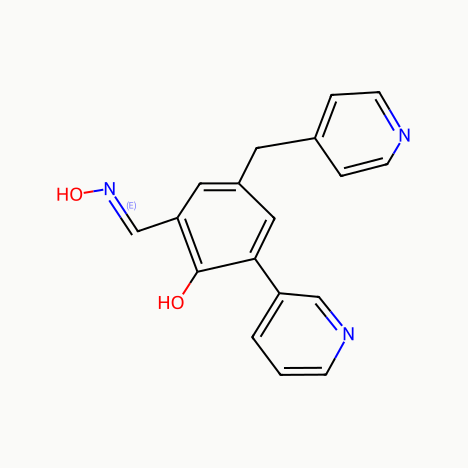 O/N=C/c1cc(Cc2ccncc2)cc(-c2cccnc2)c1O